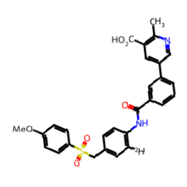 [2H]c1cc(CS(=O)(=O)c2ccc(OC)cc2)ccc1NC(=O)c1cccc(-c2cnc(C)c(C(=O)O)c2)c1